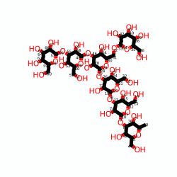 CC1OC(CO)C(O)C(OC2OC(CO)C(O)C(OC3OC(CO)C(O)C(OC4OC(COC5OC(CO)C(O)C(O)C5O)C(O)C(OC5OC(CO)C(O)C(OC6OC(CO)C(O)C(O)C6O)C5O)C4O)C3O)C2O)C1O